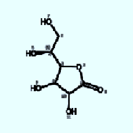 O=C1OC([C@@H](O)CO)C(O)C1O